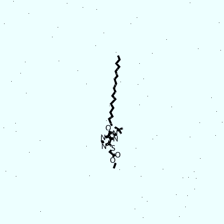 CCCCCCCCCCCCCCCCCCOc1c2ncnc(SCC(=O)OCC)c2nn1C(C)(C)C